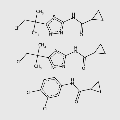 CC(C)(CCl)c1nnc(NC(=O)C2CC2)s1.CC(C)(CCl)c1nnc(NC(=O)C2CC2)s1.O=C(Nc1ccc(Cl)c(Cl)c1)C1CC1